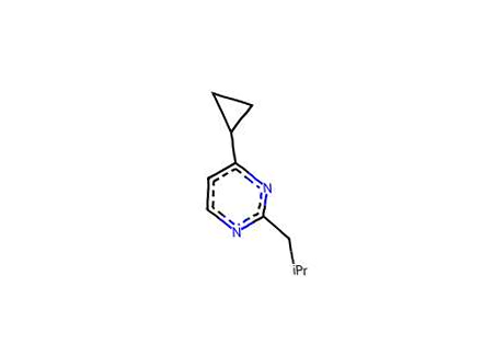 CC(C)Cc1nccc(C2CC2)n1